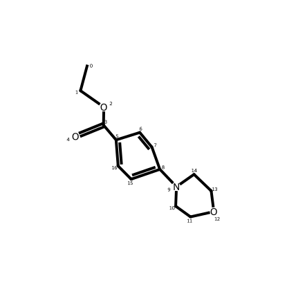 CCOC(=O)c1ccc(N2CCOCC2)cc1